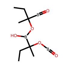 CCC(C)(B=O)OB(O)C(C)(CC)OB=O